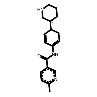 Cc1ccc(C(=O)NC2=CCC([C@@H]3CCCNC3)C=C2)cn1